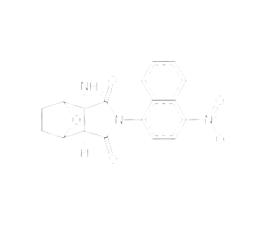 N[C@]12C(=O)N(c3ccc([N+](=O)[O-])c4ccccc34)C(=O)[C@H]1C1CCC2O1